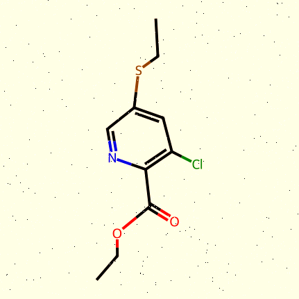 CCOC(=O)c1ncc(SCC)cc1Cl